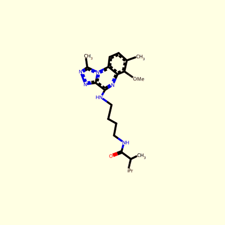 COc1c(C)ccc2c1nc(NCCCCNC(=O)C(C)C(C)C)c1nnc(C)n12